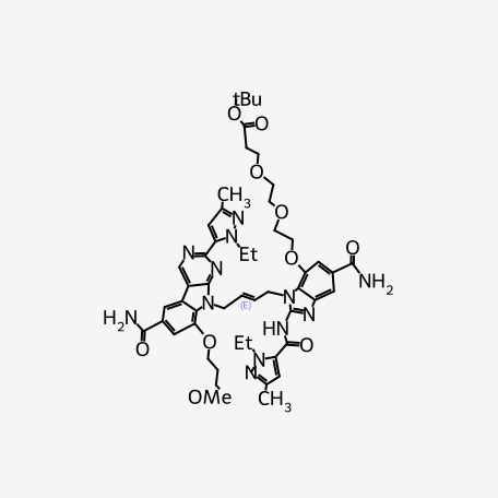 CCn1nc(C)cc1C(=O)Nc1nc2cc(C(N)=O)cc(OCCOCCOCCC(=O)OC(C)(C)C)c2n1C/C=C/Cn1c2nc(-c3cc(C)nn3CC)ncc2c2cc(C(N)=O)cc(OCCCOC)c21